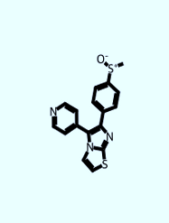 C[S+]([O-])c1ccc(-c2nc3sccn3c2-c2ccncc2)cc1